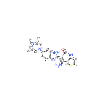 C[C@@H]1CN(c2ccc3nc(-c4c(N)c5sccc5[nH]c4=O)[nH]c3c2)C[C@H](C)N1C